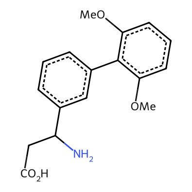 COc1cccc(OC)c1-c1cccc(C(N)CC(=O)O)c1